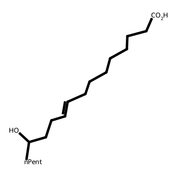 CCCCCC(O)CCC=CCCCCCCCC(=O)O